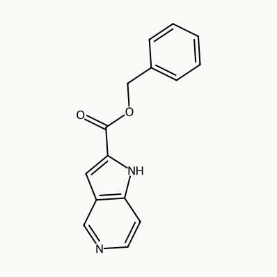 O=C(OCc1ccccc1)c1cc2cnccc2[nH]1